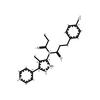 CCC(=O)N(C(=O)CCc1ccc(Cl)cc1)c1[nH]nc(-c2ccncc2)c1C